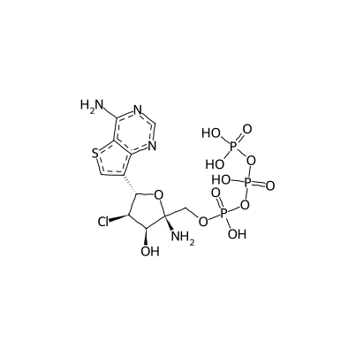 Nc1ncnc2c([C@@H]3O[C@](N)(COP(=O)(O)OP(=O)(O)OP(=O)(O)O)[C@@H](O)[C@H]3Cl)csc12